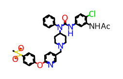 CC(=O)Nc1cc(NC(=O)N(c2ccccc2)C2CCN(Cc3ccc(Oc4ccc(S(C)(=O)=O)cc4)nc3)CC2)ccc1Cl